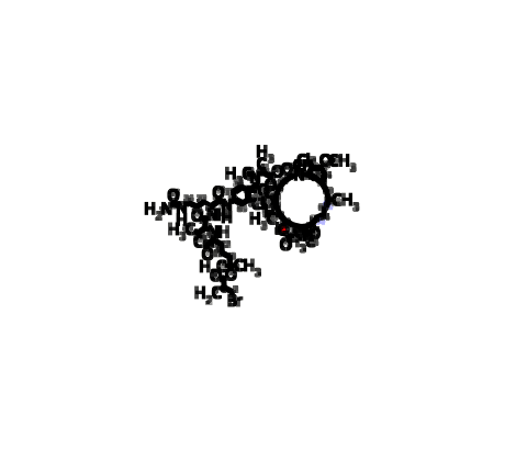 C=C(CBr)C(=O)OC(C)(C)CCCC(C=O)N[C@H](C(=O)N[C@@H](CCCNC(N)=O)C(=O)Nc1ccc(C(=O)N(C)[C@@H](C)C(=O)O[C@H]2CC(=O)N(C)c3cc(cc(OC)c3Cl)C/C(C)=C/C=C/[C@@H](OC)[C@@]3(O)C[C@H](OC(=O)N3)[C@@H](C)[C@@H]3O[C@@]23C)c(Cl)c1)C(C)C